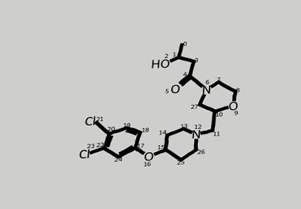 CC(O)CC(=O)N1CCOC(CN2CCC(Oc3ccc(Cl)c(Cl)c3)CC2)C1